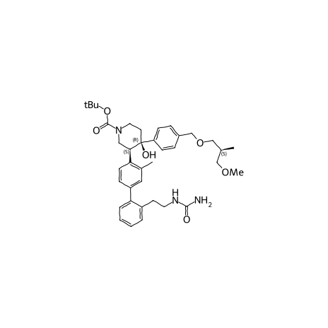 COC[C@H](C)COCc1ccc([C@@]2(O)CCN(C(=O)OC(C)(C)C)C[C@@H]2c2ccc(-c3ccccc3CCNC(N)=O)cc2C)cc1